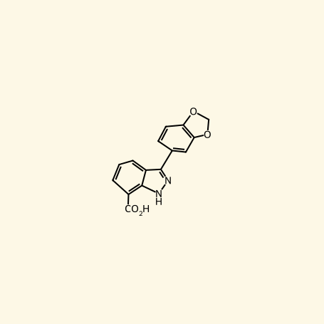 O=C(O)c1cccc2c(-c3ccc4c(c3)OCO4)n[nH]c12